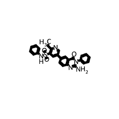 CCc1ncc(-c2ccc3nc(N)n(-c4ccccc4)c(=O)c3c2)cc1S(=O)(=O)Nc1ccccc1